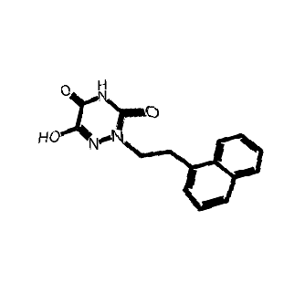 O=c1[nH]c(=O)n(CCc2cccc3ccccc23)nc1O